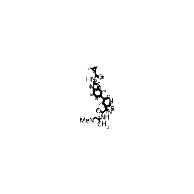 CNCC(C)NC(=O)c1nsc2ncc(-c3ccc4nc(NC(=O)C5CC5)sc4c3)cc12